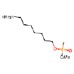 CCCCCCCCCCCCCCOP(C)(=O)OC